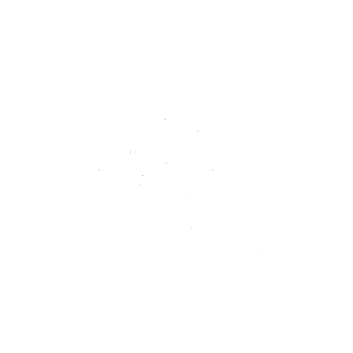 CCCCOOC(CC)(C(=O)O)C(C)(C)C(CC)C(C)(C)C